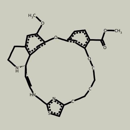 COC(=O)c1ccc2cc1OCCCCCc1csc(n1)NC1=C[C@]3(C1)NCCc1cc(OC)c(cc13)O2